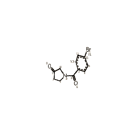 O=C1CCN(C(=O)c2ccc(Br)cc2)C1